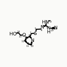 CN/C(=N/CCSCc1ncccc1OCCO)NC#N